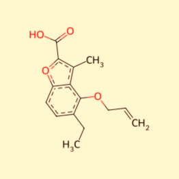 C=CCOc1c(CC)ccc2oc(C(=O)O)c(C)c12